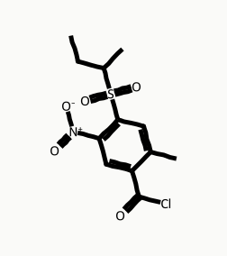 CCC(C)S(=O)(=O)c1cc(C)c(C(=O)Cl)cc1[N+](=O)[O-]